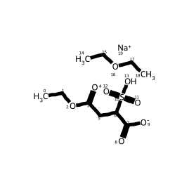 CCOC(=O)CC(C(=O)[O-])S(=O)(=O)O.CCOCC.[Na+]